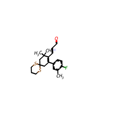 Cc1cc(C2=C(/C=C/C=O)C(C)(C)CC3(C2)SCCCS3)ccc1F